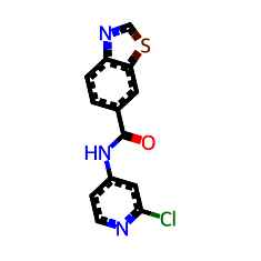 O=C(Nc1ccnc(Cl)c1)c1ccc2ncsc2c1